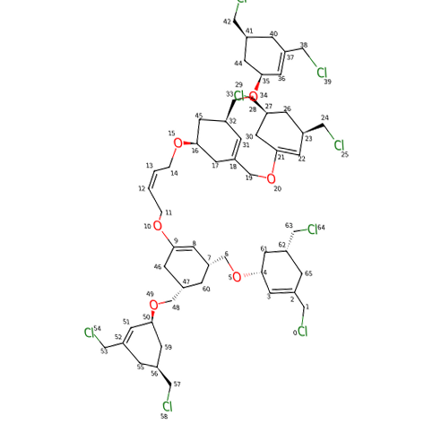 ClCC1=C[C@H](OC[C@H]2C=C(OC/C=C\CO[C@@H]3CC(COC4=C[C@H](CCl)C[C@H](CCl)C4)=C[C@H](CO[C@@H]4C=C(CCl)C[C@H](CCl)C4)C3)C[C@@H](CO[C@@H]3C=C(CCl)C[C@H](CCl)C3)C2)C[C@H](CCl)C1